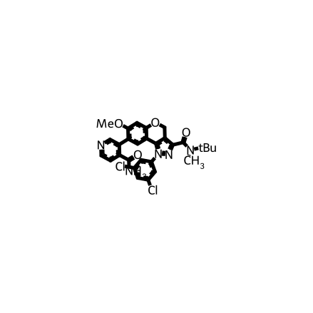 COc1cc2c(cc1-c1cnccc1C(N)=O)-c1c(c(C(=O)N(C)C(C)(C)C)nn1-c1cc(Cl)cc(Cl)c1)CO2